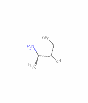 CCCCC(C#N)[C@@H](C)N